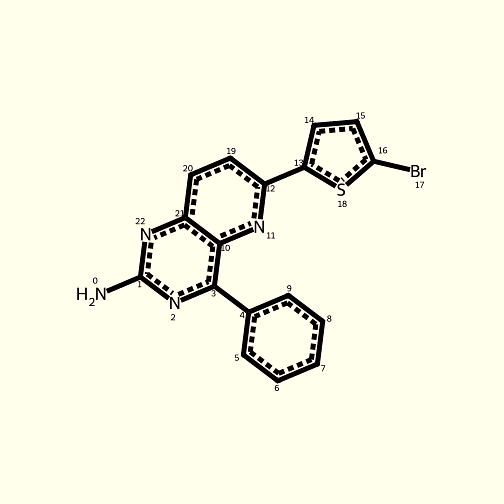 Nc1nc(-c2ccccc2)c2nc(-c3ccc(Br)s3)ccc2n1